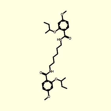 CCC(C)Oc1cc(OC)ccc1C(=O)NCCCCCCNC(=O)c1ccc(OC)cc1OC(C)CC